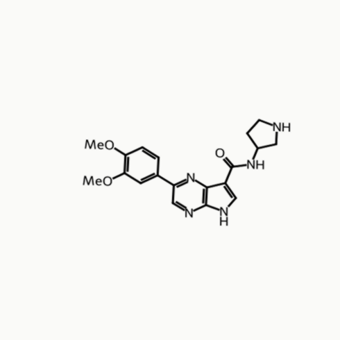 COc1ccc(-c2cnc3[nH]cc(C(=O)NC4CCNC4)c3n2)cc1OC